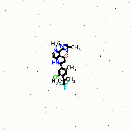 Cc1cn(C)c(-c2nccc3[nH]c(-c4cc(Cl)c(C(C)(C)C(F)(F)F)cc4C)cc(=O)c23)n1